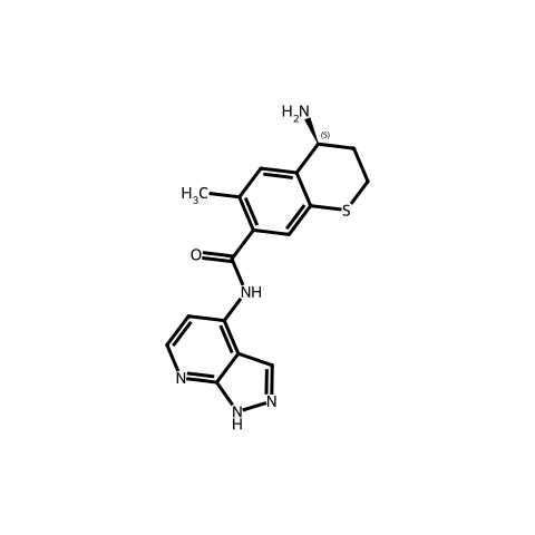 Cc1cc2c(cc1C(=O)Nc1ccnc3[nH]ncc13)SCC[C@@H]2N